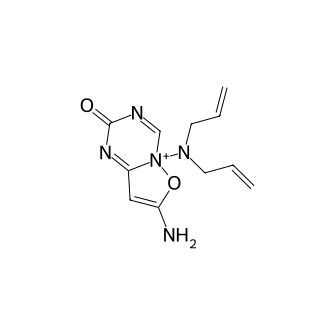 C=CCN(CC=C)[N+]12C=NC(=O)N=C1C=C(N)O2